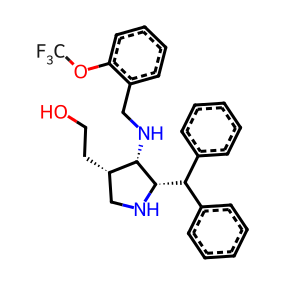 OCC[C@H]1CN[C@@H](C(c2ccccc2)c2ccccc2)[C@H]1NCc1ccccc1OC(F)(F)F